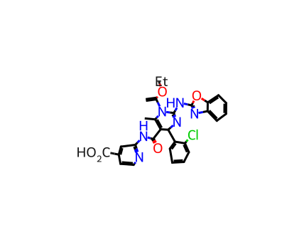 C=C(OCC)N1C(Nc2nc3ccccc3o2)=NC(c2ccccc2Cl)C(C(=O)Nc2cc(C(=O)O)ccn2)=C1C